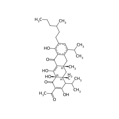 CCCC(C)CCc1cc(C(C)C)c2c(c1O)C(=O)C1=C(O)[C@@]3(O)C(=O)C(C(C)=O)=C(O)C(C(C)C)[C@@]3(C)C[C@@]1(C)C2